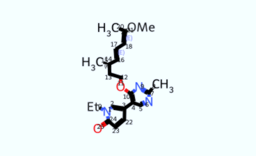 CCn1cc(-c2cnc(C)nc2OCC[C@@H](C)/C=C/C=C(\C)OC)ccc1=O